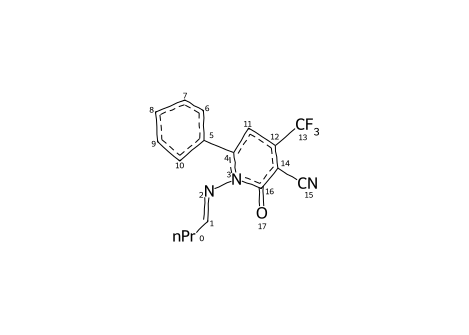 CCCC=Nn1c(-c2ccccc2)cc(C(F)(F)F)c(C#N)c1=O